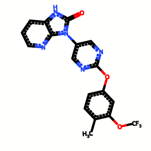 Cc1ccc(Oc2ncc(-n3c(=O)[nH]c4cccnc43)cn2)cc1OC(F)(F)F